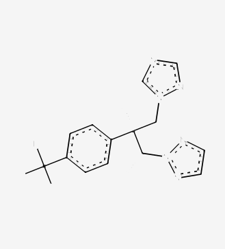 C[C@@H](n1nccn1)[C@](O)(Cn1cncn1)c1ccc(C(F)(F)F)cc1